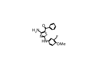 COc1ccc(Nc2nc(N)c(C(=O)c3ccccc3)s2)cc1F